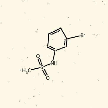 CS(=O)(=O)Nc1cccc(Br)c1